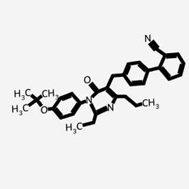 CCCc1nc(CC)n(-c2ccc(OC(C)(C)C)cc2)c(=O)c1Cc1ccc(-c2ccccc2C#N)cc1